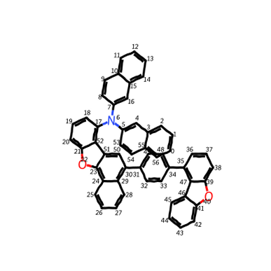 c1ccc2cc(N(c3ccc4ccccc4c3)c3cccc4oc5c6ccccc6c(-c6ccc(-c7cccc8oc9ccccc9c78)cc6)cc5c34)ccc2c1